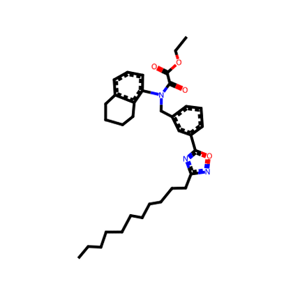 CCCCCCCCCCCc1noc(-c2cccc(CN(C(=O)C(=O)OCC)c3cccc4c3CCCC4)c2)n1